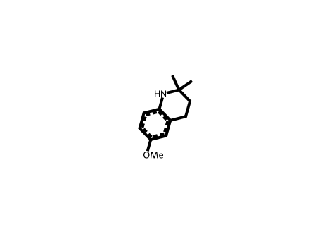 COc1ccc2c(c1)CCC(C)(C)N2